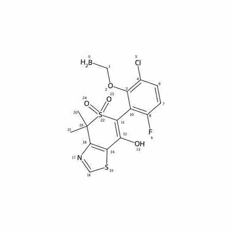 BCOc1c(Cl)ccc(F)c1C1=C(O)c2scnc2C(C)(C)S1(=O)=O